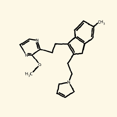 COc1nccnc1CCC1=C(CCN2CC=CC2)Cc2cc(C)ccc21